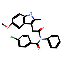 COc1ccc2[nH]c(C)c(CC(=O)N(C(=O)c3ccc(Cl)cc3)c3ccccc3)c2c1